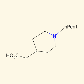 CCCCCN1CCC(CC(=O)O)CC1